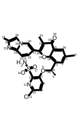 Cc1cc([C@@H](C)Oc2ccc(Cl)nc2S(N)(=O)=O)c2oc(-c3ccc4nc(C)cn4c3)c(C)c(=O)c2c1